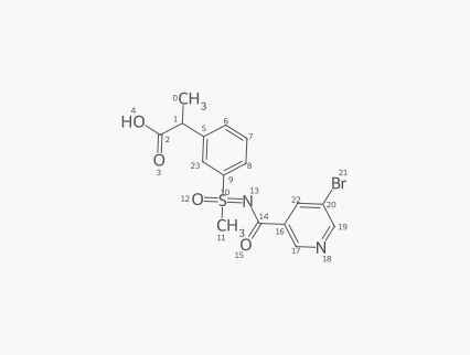 CC(C(=O)O)c1cccc(S(C)(=O)=NC(=O)c2cncc(Br)c2)c1